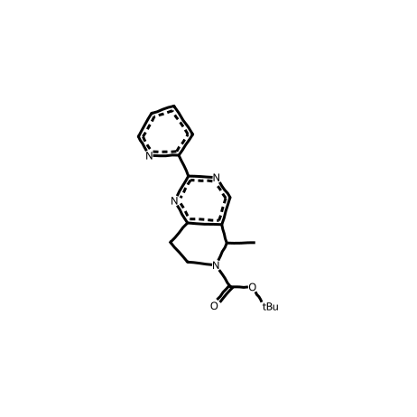 CC1c2cnc(-c3ccccn3)nc2CCN1C(=O)OC(C)(C)C